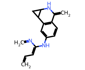 C=C/C=C(\N=C)Nc1ccc2c(c1)C1CC1NC2=C